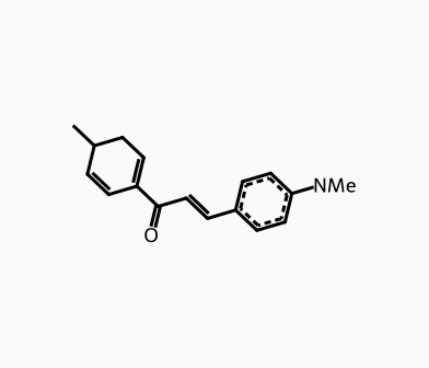 CNc1ccc(/C=C/C(=O)C2=CCC(C)C=C2)cc1